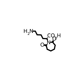 NCCCC[C@@H](C(=O)O)N1C(=O)CCCCC1=O